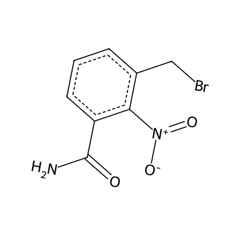 NC(=O)c1cccc(CBr)c1[N+](=O)[O-]